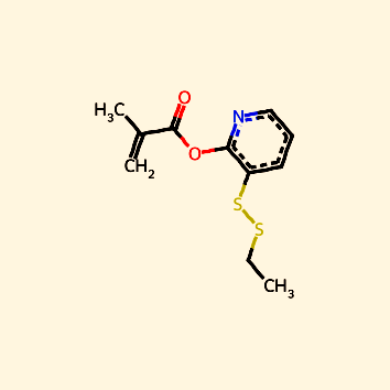 C=C(C)C(=O)Oc1ncccc1SSCC